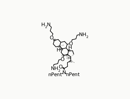 CCCCCN(CCCCC)C(=O)CC[C@@H](C)[C@H]1CC[C@H]2C3C(OCCCN)CC4C[C@H](OCCCN)CC[C@]4(C)[C@H]3C[C@H](OCCCN)[C@]12C